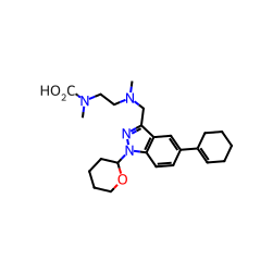 CN(CCN(C)C(=O)O)Cc1nn(C2CCCCO2)c2ccc(C3=CCCCC3)cc12